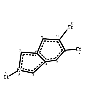 CCc1cc2cn(CC)cc2cc1CC